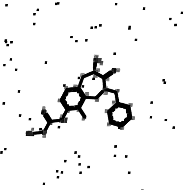 Cc1c(NC(=O)OC(C)(C)C)ccc2c1CN(Cc1ccccc1)C(=O)[C@H](N)C2